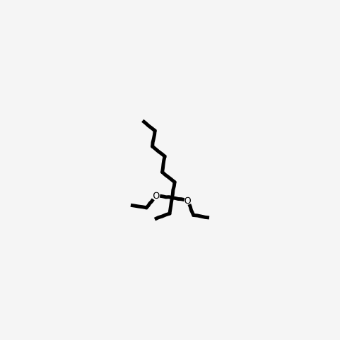 CCCCCCC(CC)(OCC)OCC